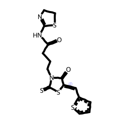 O=C(CCCN1C(=O)/C(=C/c2cccs2)SC1=S)NC1=NCCS1